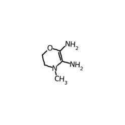 CN1CCOC(N)=C1N